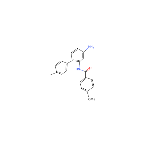 COc1ccc(C(=O)Nc2cc(N)ccc2-c2ccc(C)cc2)cc1